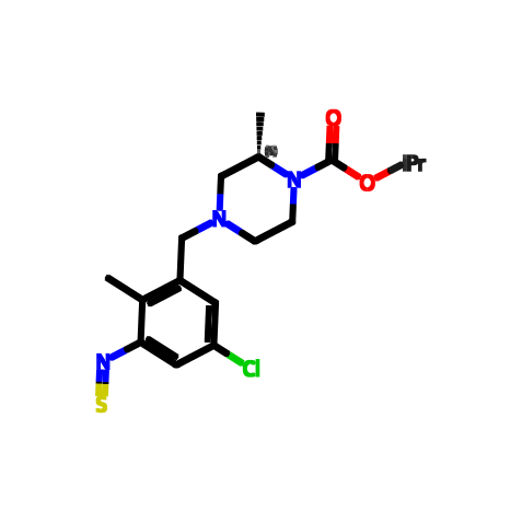 Cc1c(CN2CCN(C(=O)OC(C)C)[C@@H](C)C2)cc(Cl)cc1N=S